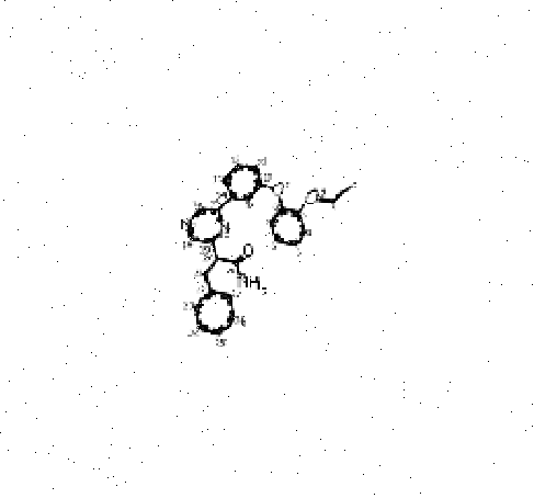 CCOc1ccccc1Oc1cccc(-c2cncc(C(Cc3ccccc3)C(N)=O)n2)c1